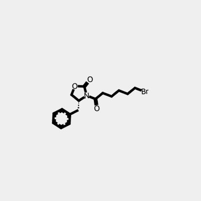 O=C(CCCCCBr)N1C(=O)OC[C@H]1Cc1ccccc1